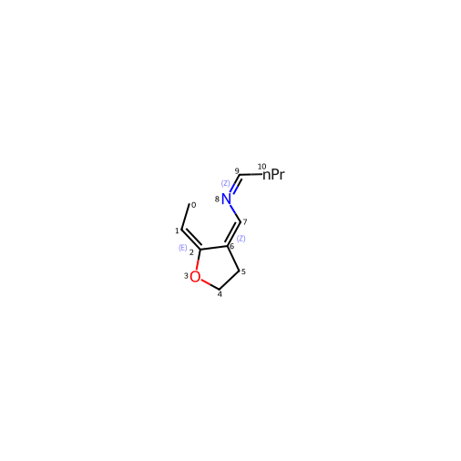 C/C=C1/OCC/C1=C/N=C\CCC